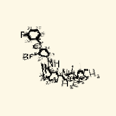 CCN(Cc1nc(-c2cc3c(Nc4ccc(OCc5cccc(F)c5)c(Br)c4)ncnc3cn2)cs1)S(=O)(=O)CC